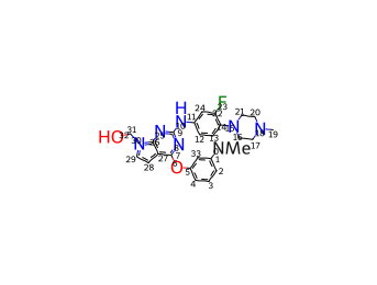 CNc1cccc(Oc2nc(Nc3ccc(N4CCN(C)CC4)c(F)c3)nc3c2ccn3CO)c1